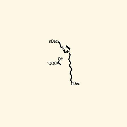 CC(O)C(=O)[O-].CCCCCCCCCCCCCCCCCCn1cc[n+](CCCCCCCCCCCC)c1